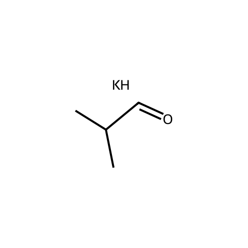 CC(C)C=O.[KH]